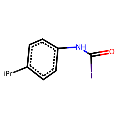 CC(C)c1ccc(NC(=O)I)cc1